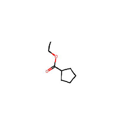 [CH2]COC(=O)C1CCCC1